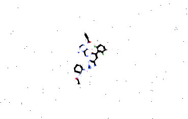 C=CC(=O)Nc1cccc(C)c1Nc1ncc2cc(-c3c(Cl)c(OC)cc(OC)c3Cl)c(=O)n(CC3CN(C(=O)C#CC)CCN3C)c2n1